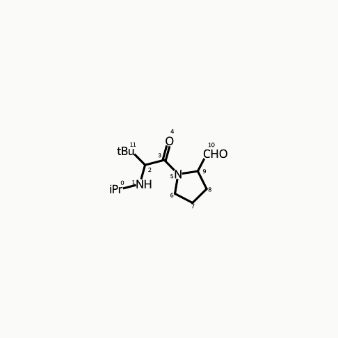 CC(C)NC(C(=O)N1CCCC1C=O)C(C)(C)C